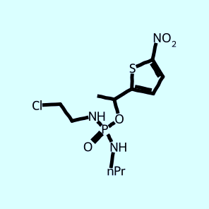 CCCNP(=O)(NCCCl)OC(C)c1ccc([N+](=O)[O-])s1